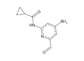 Bc1cc(C=O)nc(NC(=O)C2CC2)c1